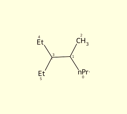 CC[CH]C(C)[C](CC)CC